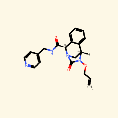 C=CCON1C(=O)N2C[C@@H]1c1ccccc1[C@@H]2C(=O)NCc1ccncc1